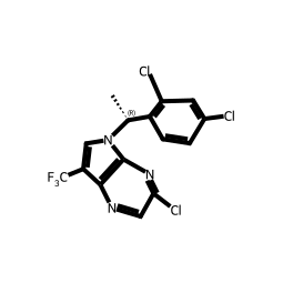 C[C@H](c1ccc(Cl)cc1Cl)n1cc(C(F)(F)F)c2ncc(Cl)nc21